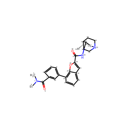 CCN(C)C(=O)c1cccc(-c2cccc3cc(C(=O)N[C@@H]4CN5CCC4CC5)oc23)c1